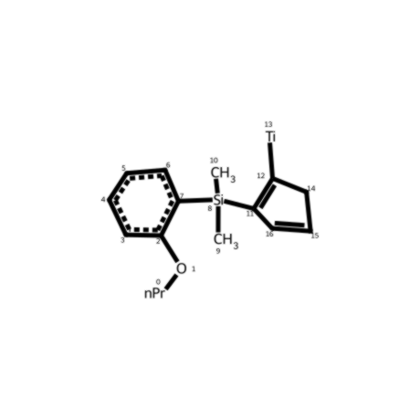 CCCOc1ccccc1[Si](C)(C)C1=[C]([Ti])CC=C1